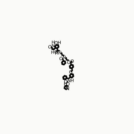 O=C(NC(c1ccccc1)c1cccc(OCc2ccc(C(=O)OCCCN(CCCNCC(O)c3ccc(O)c4[nH]c(=O)ccc34)C(=O)c3ccccc3)cc2)c1)O[C@H]1CN2CCC1CC2